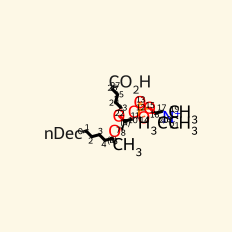 CCCCCCCCCCCCCC[C@@H](C)OC[C@H](COP(=O)([O-])OCC[N+](C)(C)C)OCCCCC(=O)O